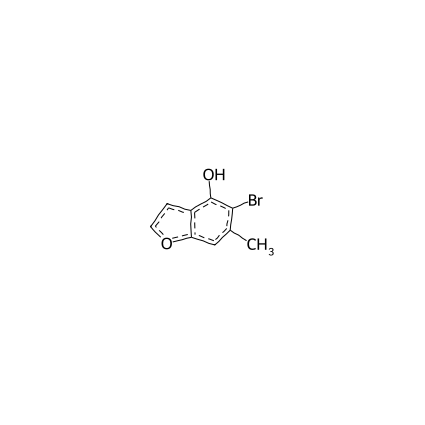 Cc1cc2occc2c(O)c1Br